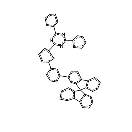 c1ccc(-c2nc(-c3ccccc3)nc(-c3cccc(-c4cccc(-c5ccc6c(c5)C5(c7ccccc7-c7ccccc75)c5ccccc5-6)c4)c3)n2)cc1